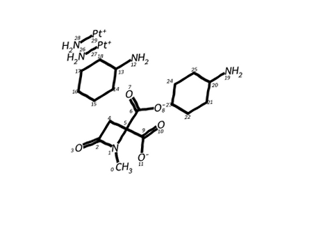 CN1C(=O)CC1(C(=O)[O-])C(=O)[O-].NC1CCCCC1.NC1CCCCC1.[NH2][Pt+].[NH2][Pt+]